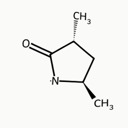 C[C@@H]1C[C@@H](C)C(=O)[N]1